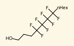 CCCCCCC(F)(F)C(F)(F)C(F)(F)C(F)(F)CCCO